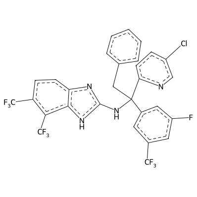 Fc1cc(C(F)(F)F)cc(C(Cc2ccccc2)(Nc2nc3ccc(C(F)(F)F)c(C(F)(F)F)c3[nH]2)c2ccc(Cl)cn2)c1